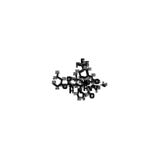 C=C[C@@H]1C[C@]1(NC(=O)[C@@H]1CCCN1C(=O)[C@@H](NC(=O)OC(CC)CCC)C(C)(C)C)P(=O)(O)Cc1cccc(C(F)(F)F)c1